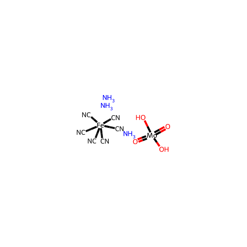 N.N.N.N#[C][Fe]([C]#N)([C]#N)([C]#N)([C]#N)[C]#N.[O]=[Mo](=[O])([OH])[OH]